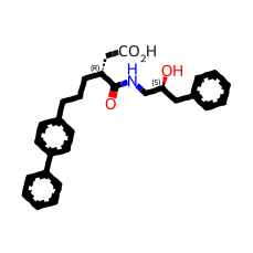 O=C(O)C[C@@H](CCCc1ccc(-c2ccccc2)cc1)C(=O)NC[C@@H](O)Cc1ccccc1